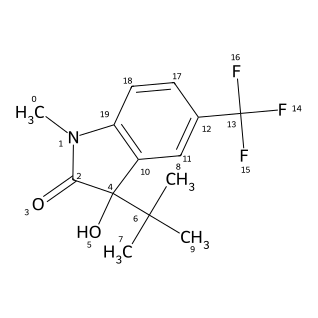 CN1C(=O)C(O)(C(C)(C)C)c2cc(C(F)(F)F)ccc21